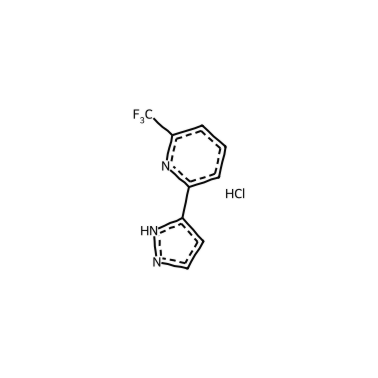 Cl.FC(F)(F)c1cccc(-c2ccn[nH]2)n1